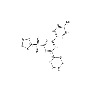 Nc1ncc(-c2cc(S(=O)(=O)[C@H]3CCOC3)cc(N3CCOCC3)n2)cn1